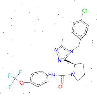 Cc1nnc([C@H]2CCCN2C(=O)Nc2ccc(OC(F)(F)F)cc2)n1Cc1ccc(Cl)cc1